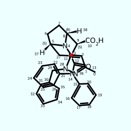 Cc1cc(N2[C@H]3CC[C@@H]2[C@@H](C(=O)O)N(C(=O)N(c2ccccc2)c2ccccc2)C3)n(Cc2ccccc2)n1